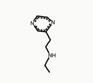 CCNCCc1cnccn1